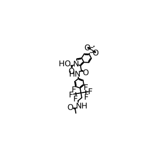 CC(=O)NCCC(c1ccc(NC(=O)c2c3ccc(S(C)(=O)=O)cc3cn2C(=O)O)cc1)(C(F)(F)F)C(F)(F)F